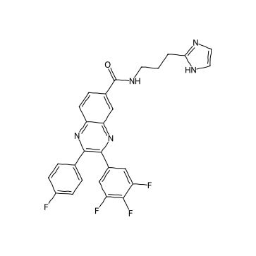 O=C(NCCCc1ncc[nH]1)c1ccc2nc(-c3ccc(F)cc3)c(-c3cc(F)c(F)c(F)c3)nc2c1